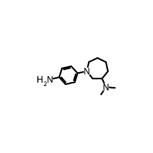 CN(C)C1CCCCN(c2ccc(N)cc2)C1